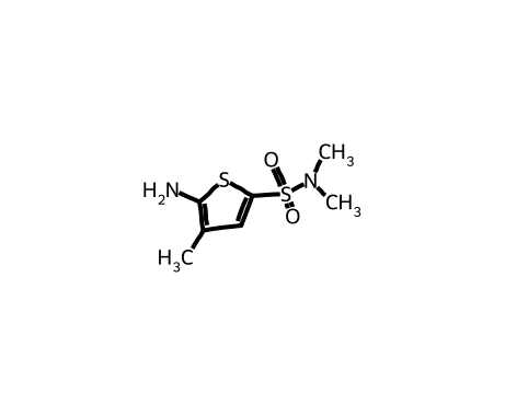 Cc1cc(S(=O)(=O)N(C)C)sc1N